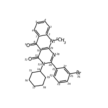 Cn1c2ccccc2c(=O)c2c(=O)n(C3CCCCC3)c(-c3cccc(Br)c3)nc21